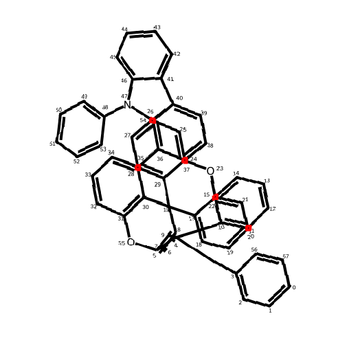 c1ccc(-c2ccc3c(c2-c2ccccc2)C2(c4ccccc4Oc4ccccc42)c2c(cccc2-c2cccc4c5ccccc5n(-c5ccccc5)c24)O3)cc1